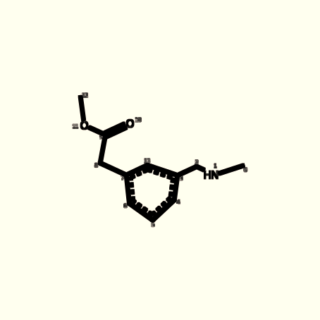 CNCc1cccc(CC(=O)OC)c1